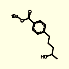 CC(O)CCCc1ccc(C(=O)OC(C)(C)C)cc1